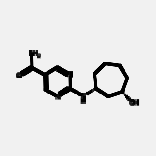 NC(=O)c1cnc(N[C@@H]2CCCC[C@H](O)C2)nc1